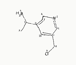 BC(C)c1cncc(CCl)c1